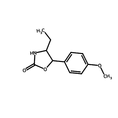 CCC1NC(=O)OC1c1ccc(OC)cc1